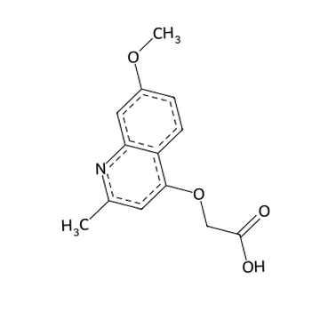 COc1ccc2c(OCC(=O)O)cc(C)nc2c1